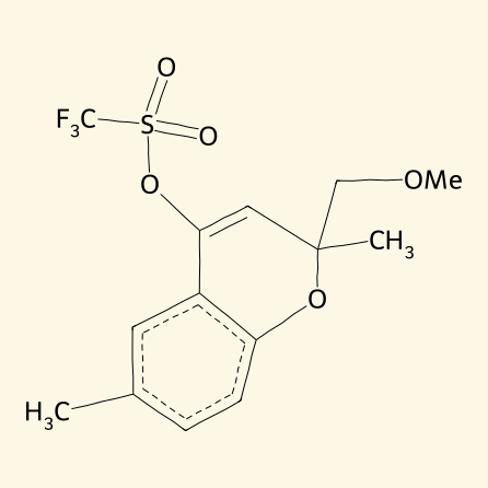 COCC1(C)C=C(OS(=O)(=O)C(F)(F)F)c2cc(C)ccc2O1